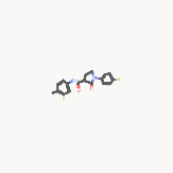 Cc1ccc(NC(=O)C2CCN(c3ccc(F)cc3)C2=O)cc1F